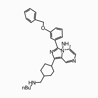 CCCCNCC1CCC(C2=C3C=NC=C[N+]3(N)C(c3cccc(OCc4ccccc4)c3)=N2)CC1